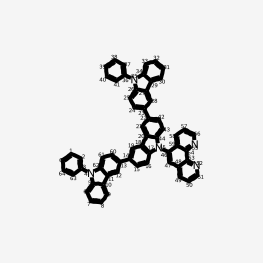 c1ccc(-n2c3ccccc3c3cc(-c4ccc5c(c4)c4cc(-c6ccc7c(c6)c6ccccc6n7-c6ccccc6)ccc4n5-c4cc5cccnc5c5ncccc45)ccc32)cc1